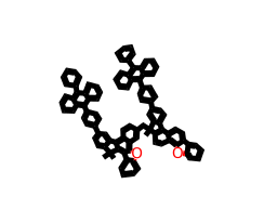 CC1(C)c2ccc(-c3ccc(-c4c5ccccc5c(-c5ccccc5)c5ccccc45)cc3)cc2-c2c1c1c3ccccc3oc1c1cc(CC3(C)c4cc(-c5ccc(-c6c7ccccc7c(-c7ccccc7)c7ccccc67)cc5)ccc4-c4c3ccc3c4ccc4c5ccccc5oc34)ccc21